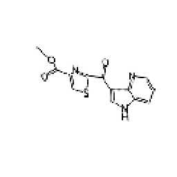 COC(=O)c1csc(C(=O)c2c[nH]c3cccnc23)n1